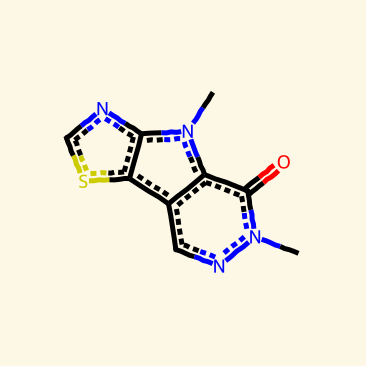 Cn1ncc2c3scnc3n(C)c2c1=O